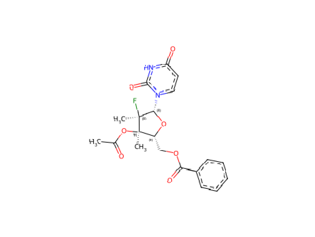 CC(=O)O[C@]1(C)[C@@H](COC(=O)c2ccccc2)O[C@@H](n2ccc(=O)[nH]c2=O)[C@]1(C)F